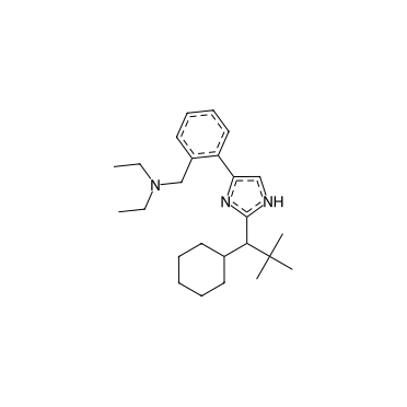 CCN(CC)Cc1ccccc1-c1c[nH]c(C(C2CCCCC2)C(C)(C)C)n1